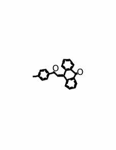 Cc1ccc(C(=O)C=C2c3ccccc3C(=O)c3ccccc32)cc1